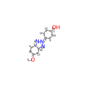 COc1ccc2nn(-c3ccc(O)cc3)nc2c1